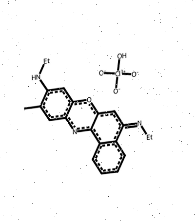 CC/N=c1/cc2oc3cc(NCC)c(C)cc3nc-2c2ccccc12.[O-][Cl+3]([O-])([O-])O